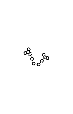 c1cc(-c2ccc(-c3cnc4c5ccccc5c5ccccc5c4n3)cc2)cc(-c2cccc(-c3ccc(-n4c5ccccc5c5ccccc54)cc3)c2)c1